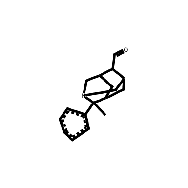 CC1(c2ccccc2)C2CC3CN1CC(C2)C3C=O